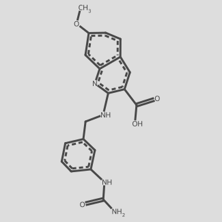 COc1ccc2cc(C(=O)O)c(NCc3cccc(NC(N)=O)c3)nc2c1